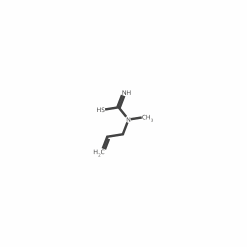 C=CCN(C)C(=N)S